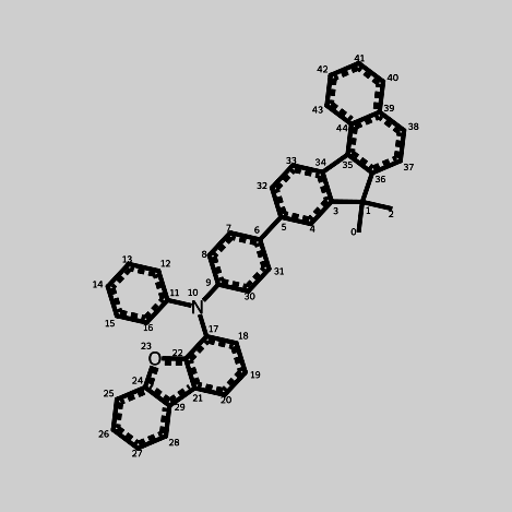 CC1(C)c2cc(-c3ccc(N(c4ccccc4)c4cccc5c4oc4ccccc45)cc3)ccc2-c2c1ccc1ccccc21